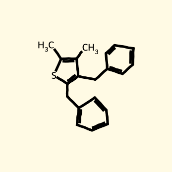 Cc1sc(Cc2ccccc2)c(Cc2ccccc2)c1C